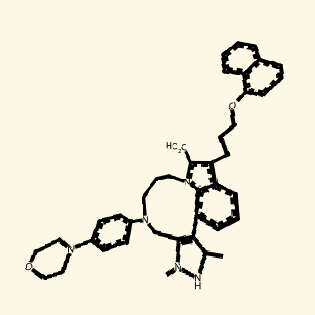 CC1NN(C)C2=C1c1cccc3c(CCCOc4cccc5ccccc45)c(C(=O)O)n(c13)CCCN(c1ccc(N3CCOCC3)cc1)C2